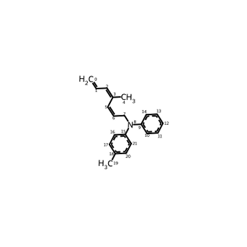 C=C/C=C(C)\C=C/CN(c1ccccc1)c1ccc(C)cc1